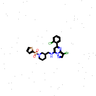 O=S(=O)(c1cccs1)N1CCCC(CNc2cc(-c3ccccc3Cl)nc3c(Br)cnn23)C1